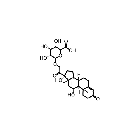 C[C@]12CCC(=O)C=C1CC[C@@H]1[C@@H]2[C@@H](O)C[C@@]2(C)[C@H]1CC[C@]2(O)C(=O)COC1O[C@H](C(=O)O)[C@@H](O)[C@H](O)[C@H]1O